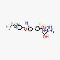 CC(C)(F)CN1CCC(COc2ccc(-c3ccc(C(=O)N4C[C@H](O)C[C@]4(C)C(N)=O)c(F)c3)cc2C#N)CC1